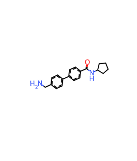 NCc1ccc(-c2ccc(C(=O)NC3CCCC3)cc2)cc1